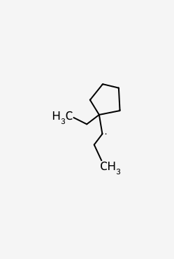 CC[CH]C1(CC)CCCC1